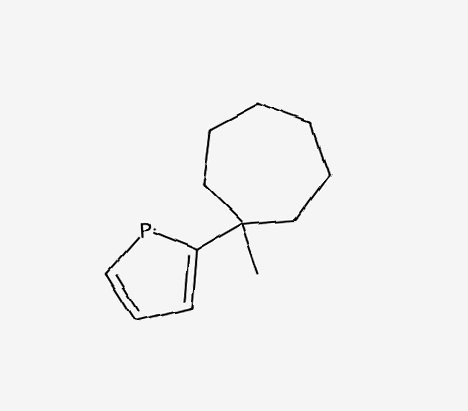 CC1(C2=CC=C[P]2)CCCCCC1